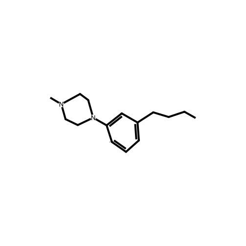 CCCCc1cc[c]c(N2CCN(C)CC2)c1